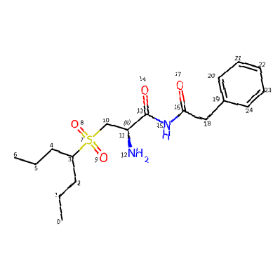 CCCC(CCC)S(=O)(=O)C[C@H](N)C(=O)NC(=O)Cc1ccccc1